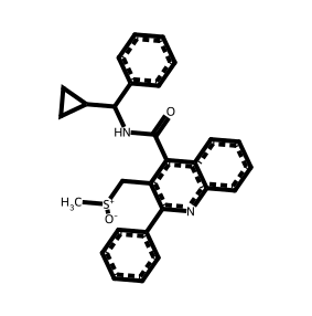 C[S+]([O-])Cc1c(-c2ccccc2)nc2ccccc2c1C(=O)NC(c1ccccc1)C1CC1